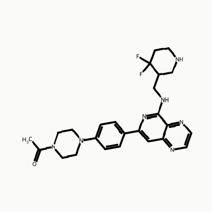 CC(=O)N1CCN(c2ccc(-c3cc4nccnc4c(NCC4CNCCC4(F)F)n3)cc2)CC1